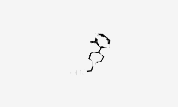 O=CCN1CCC(c2nccnc2F)CC1